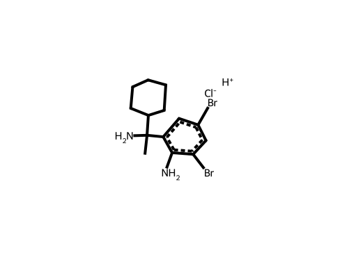 CC(N)(c1cc(Br)cc(Br)c1N)C1CCCCC1.[Cl-].[H+]